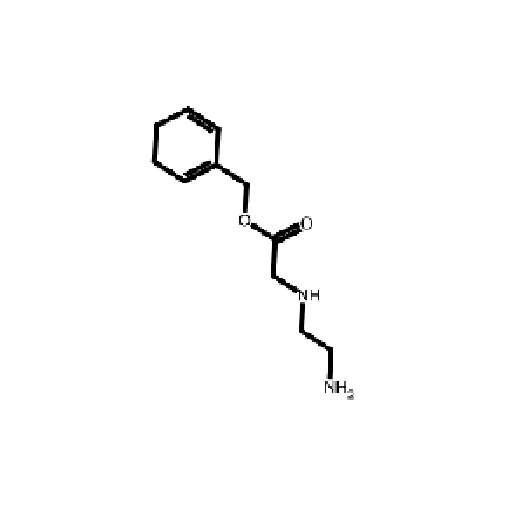 NCCNCC(=O)OCC1=CCCC=C1